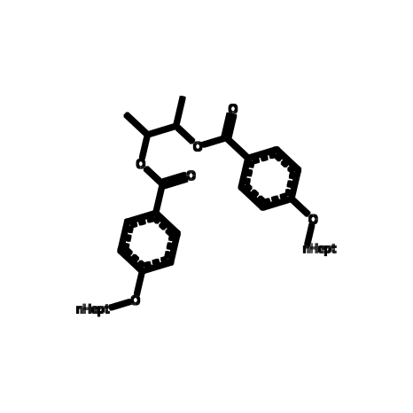 CCCCCCCOc1ccc(C(=O)OC(C)C(C)OC(=O)c2ccc(OCCCCCCC)cc2)cc1